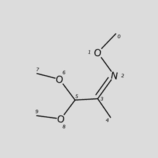 CO/N=C(/C)C(OC)OC